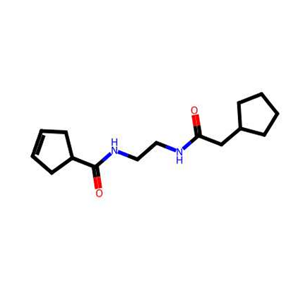 O=C(CC1CCCC1)NCCNC(=O)C1CC=CC1